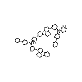 c1ccc(-c2ccc(N(c3cccnc3)c3cccc(-c4ccc5c6c(cccc46)-c4cc(-c6ccc(N(c7ccc(-c8ccccc8)cc7)c7cccc(-c8ccc9c%10c(cccc8%10)-c8ccccc8-9)c7)nc6)ccc4-5)c3)cc2)cc1